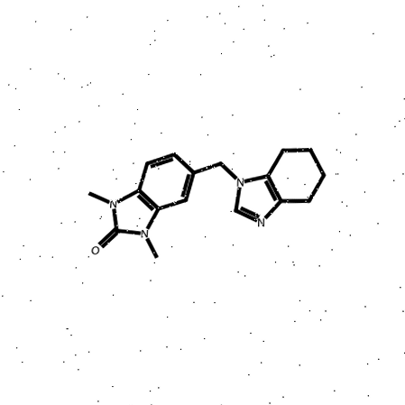 Cn1c(=O)n(C)c2cc(Cn3cnc4c3CCCC4)ccc21